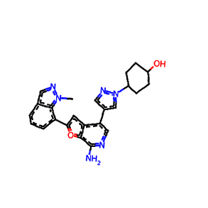 Cn1ncc2cccc(-c3cc4c(-c5cnn(C6CCC(O)CC6)c5)cnc(N)c4o3)c21